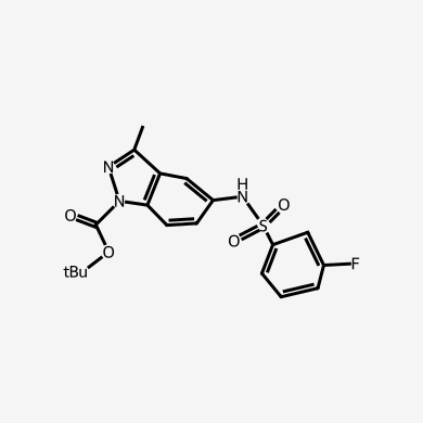 Cc1nn(C(=O)OC(C)(C)C)c2ccc(NS(=O)(=O)c3cccc(F)c3)cc12